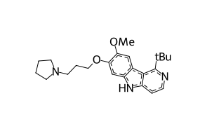 COc1cc2c(cc1OCCCN1CCCC1)[nH]c1ccnc(C(C)(C)C)c12